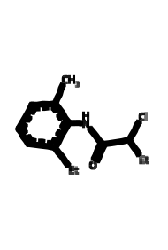 CCc1cccc(C)c1NC(=O)C(Cl)CC